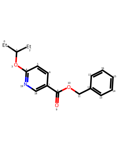 CCC(CC)Oc1ccc(C(=O)OCc2ccccc2)cn1